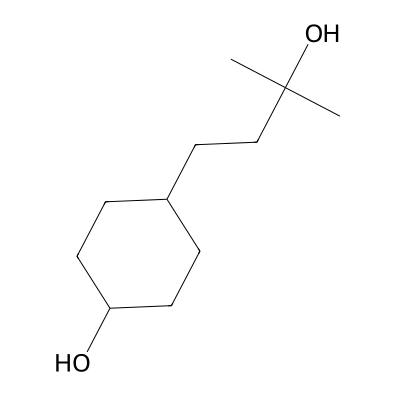 CC(C)(O)CCC1CCC(O)CC1